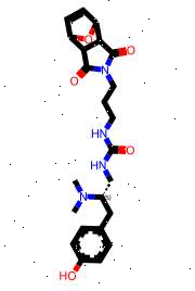 CN(C)[C@H](CNC(=O)NCCCN1C(=O)C2C3C=CC(O3)C2C1=O)Cc1ccc(O)cc1